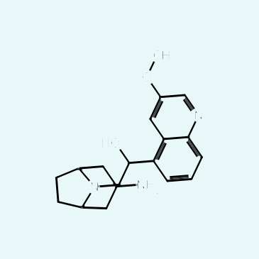 COc1cnc2cccc(C(O)CN3C4CCC3CC(N)C4)c2c1